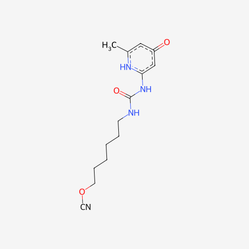 Cc1cc(=O)cc(NC(=O)NCCCCCCOC#N)[nH]1